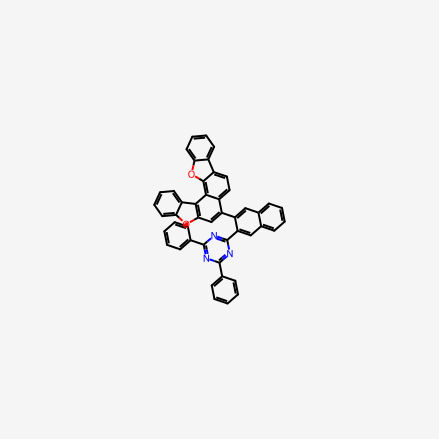 c1ccc(-c2nc(-c3ccccc3)nc(-c3cc4ccccc4cc3-c3cc4oc5ccccc5c4c4c3ccc3c5ccccc5oc34)n2)cc1